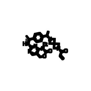 C=CC(=O)N1CC2(C1)CN(C(C)c1ccc([C@H](C)Nc3ncc4c(n3)N(CC)C(=O)OC4)cc1)C2